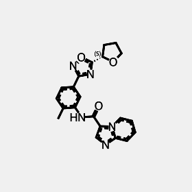 Cc1ccc(-c2noc([C@@H]3CCCO3)n2)cc1NC(=O)c1cnc2ccccn12